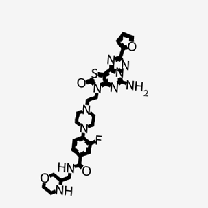 Nc1nc2c(sc(=O)n2CCN2CCN(c3ccc(C(=O)NCC4COCCN4)cc3F)CC2)c2nc(-c3ccco3)nn12